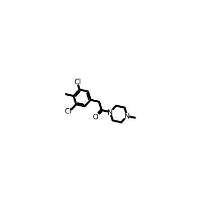 Cc1c(Cl)cc(CC(=O)N2CCN(C)CC2)cc1Cl